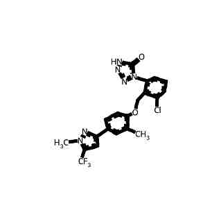 Cc1cc(-c2cc(C(F)(F)F)n(C)n2)ccc1OCc1c(Cl)cccc1-n1nn[nH]c1=O